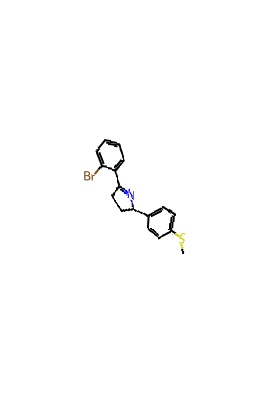 CSc1ccc(C2CCC(c3ccccc3Br)=N2)cc1